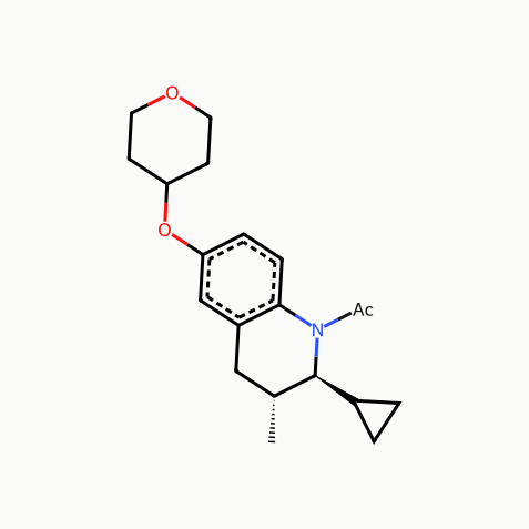 CC(=O)N1c2ccc(OC3CCOCC3)cc2C[C@@H](C)[C@@H]1C1CC1